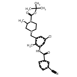 Cc1c(CN2CCN(C(=O)OC(C)(C)C)C(C)C2)cc(Cl)cc1NC(=O)c1cccc(C#N)c1